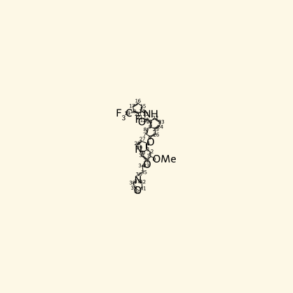 COc1cc2c(Oc3ccc4c(C(=O)Nc5cccc(C(F)(F)F)c5F)cccc4c3)ccnc2cc1OCCCN1CCOCC1